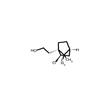 CC1(C)[C@H]2CC[C@]1(CCO)[C@H](Cl)C2